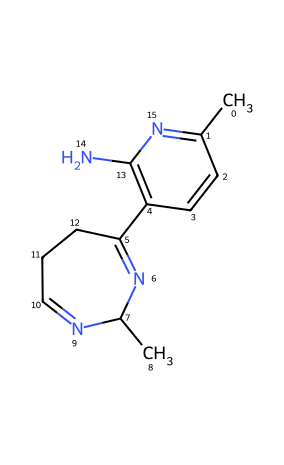 Cc1ccc(C2=NC(C)N=CCC2)c(N)n1